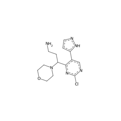 NCCC(c1nc(Cl)ncc1-c1ccn[nH]1)N1CCOCC1